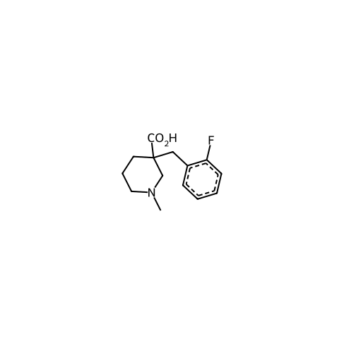 CN1CCCC(Cc2ccccc2F)(C(=O)O)C1